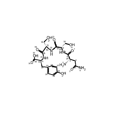 NC(=O)C[C@H](N)C(=O)N[C@@H](CO)C(=O)N[C@@H](CO)C(=O)N[C@@H](Cc1ccc(O)cc1)C(=O)O